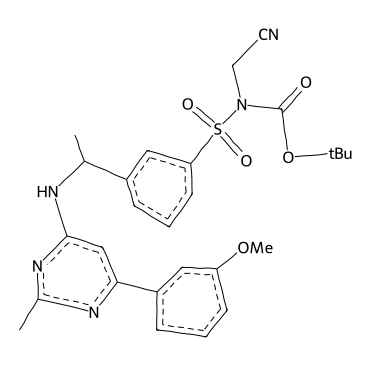 COc1cccc(-c2cc(NC(C)c3cccc(S(=O)(=O)N(CC#N)C(=O)OC(C)(C)C)c3)nc(C)n2)c1